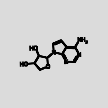 Nc1ncnc2c1ccn2C1OCC(O)C1O